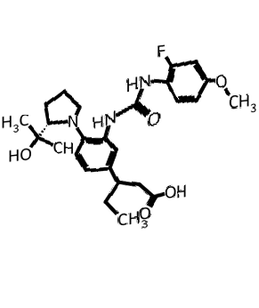 CCC(CC(=O)O)c1ccc(N2CCC[C@H]2C(C)(C)O)c(NC(=O)Nc2ccc(OC)cc2F)c1